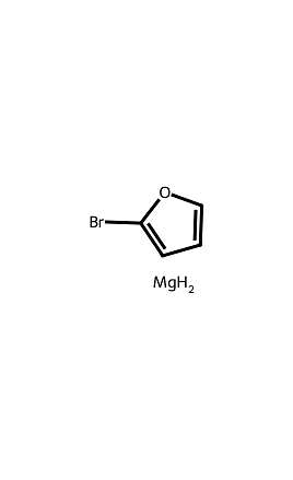 Brc1ccco1.[MgH2]